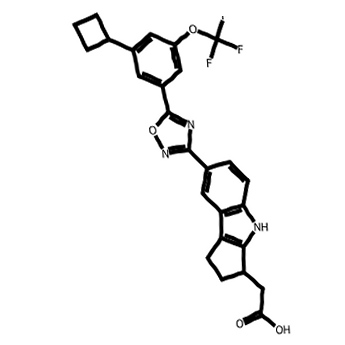 O=C(O)CC1CCc2c1[nH]c1ccc(-c3noc(-c4cc(OC(F)(F)F)cc(C5CCC5)c4)n3)cc21